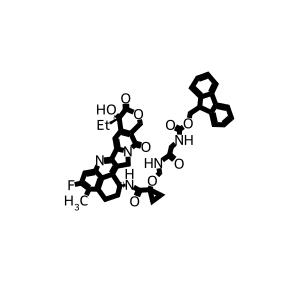 CC[C@@]1(O)C(=O)OCc2c1cc1n(c2=O)Cc2c-1nc1cc(F)c(C)c3c1c2[C@@H](NC(=O)C1(OCNC(=O)CNC(=O)OCC2c4ccccc4-c4ccccc42)CC1)CC3